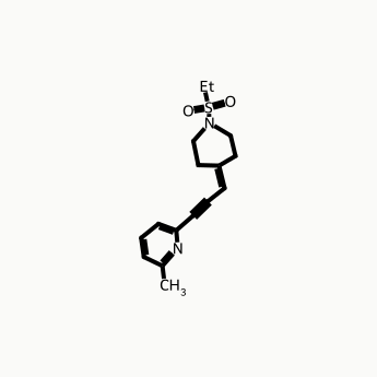 CCS(=O)(=O)N1CCC(=CC#Cc2cccc(C)n2)CC1